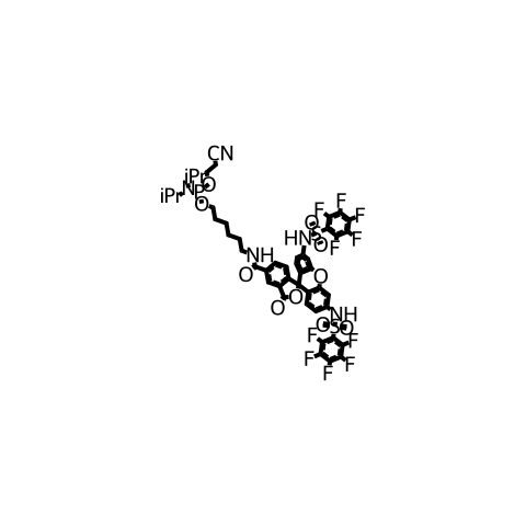 CC(C)N(C(C)C)P(OCCC#N)OCCCCCCNC(=O)c1ccc2c(c1)C(=O)OC21c2ccc(NS(=O)(=O)c3c(F)c(F)c(F)c(F)c3F)cc2Oc2cc(NS(=O)(=O)c3c(F)c(F)c(F)c(F)c3F)ccc21